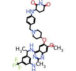 COc1cc2nc(C)nc(N[C@H](C)c3cc(N)cc(C(F)(F)F)c3)c2cc1OC1CCN(Cc2ccc(NC3CCC(=O)NC3=O)cc2)CC1